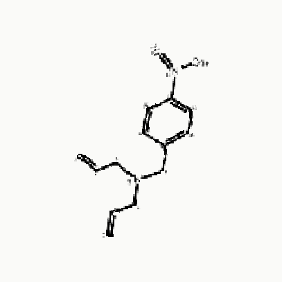 C=CCN(CC=C)Cc1ccc([N+](=O)[O-])cc1